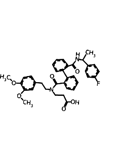 COc1ccc(CCN(CCC(=O)O)C(=O)c2ccccc2-c2ccccc2C(=O)NC(C)c2ccc(F)cc2)cc1OC